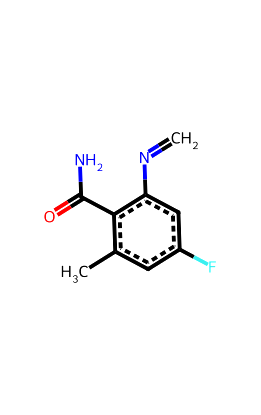 C=Nc1cc(F)cc(C)c1C(N)=O